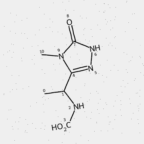 CC(NC(=O)O)c1n[nH]c(=O)n1C